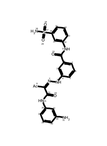 CC(=O)/C(=N/Nc1cccc(C(=O)Nc2cccc(S(N)(=O)=O)c2)c1)C(=O)Nc1cccc(N)c1